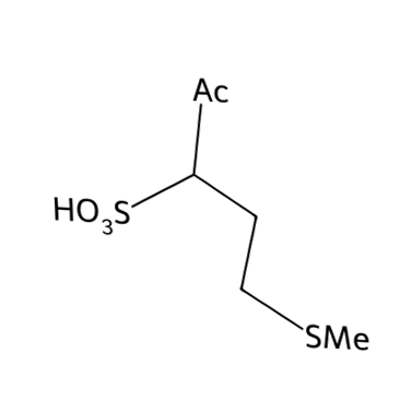 CSCCC(C(C)=O)S(=O)(=O)O